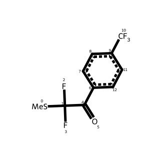 CSC(F)(F)C(=O)c1ccc(C(F)(F)F)cc1